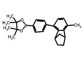 Cc1ccc(-c2ccc(B3OC(C)(C)C(C)(C)O3)cc2)c2c1C1CCC2C1